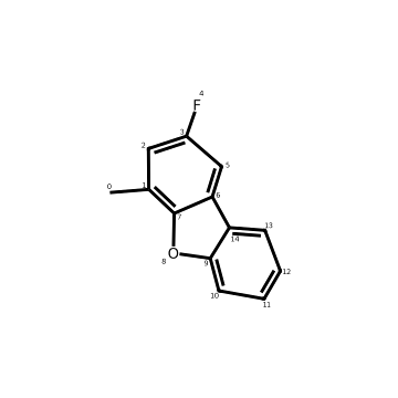 Cc1cc(F)cc2c1oc1ccccc12